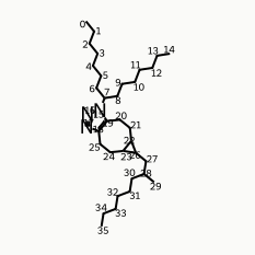 CCCCCCCC(CCCCCCC)n1nnc2c1CCC1C(CC2)C1CC(C)CCCCCC